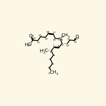 CCCCC[C@H](C)/C=C/[C@@H](CCC=O)N(C)C/C=C\CCCC(=O)O